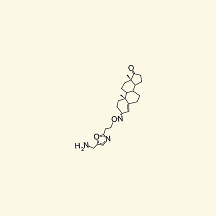 C[C@]12CC/C(=N\OCCc3ncc(CN)o3)C=C1CCC1C2CC[C@]2(C)C(=O)CCC12